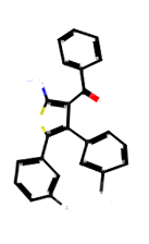 CC(=O)c1cccc(-c2sc(N)c(C(=O)c3ccccc3)c2-c2cccc(C(F)(F)F)c2)c1